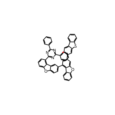 c1ccc(-c2nc(-c3ccccc3)nc(-c3cccc4oc5ccc(-c6cc(-c7ccc8c(c7)sc7ccccc78)cc7oc8ccccc8c67)cc5c34)n2)cc1